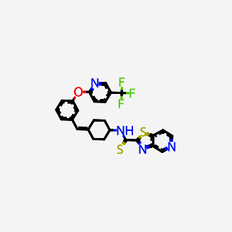 FC(F)(F)c1ccc(Oc2cccc(C=C3CCC(NC(=S)c4nc5cnccc5s4)CC3)c2)nc1